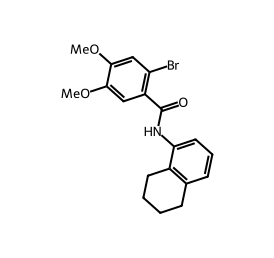 COc1cc(Br)c(C(=O)Nc2cccc3c2CCCC3)cc1OC